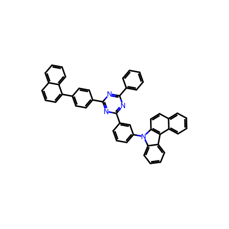 c1ccc(-c2nc(-c3ccc(-c4cccc5ccccc45)cc3)nc(-c3cccc(-n4c5ccccc5c5c6ccccc6ccc54)c3)n2)cc1